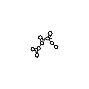 c1ccc(-c2ccc(-c3cc(-n4c5ccccc5c5cc(-c6ccc7c(c6)c6ccccc6n7-c6ccccc6)ccc54)cc4c3sc3ccccc34)cc2)cc1